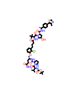 Cc1ncsc1-c1ccc([C@H](C)NC(=O)[C@@H]2C[C@@H](O)CN2C(=O)[C@@H](NC(=O)CCCc2cccc(OC[C@H](CCC(N)=O)NC(=O)[C@@H]3CCCN3C(=O)[C@@H](NC(=O)OC(C)(C)C)C(C)C)c2Cl)C(C)(C)C)cc1